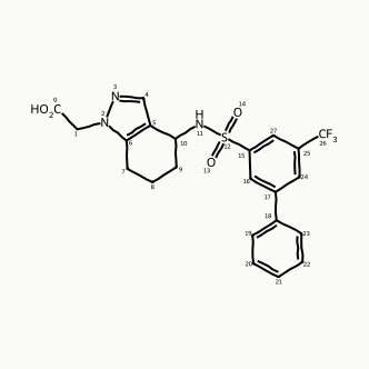 O=C(O)Cn1ncc2c1CCCC2NS(=O)(=O)c1cc(-c2ccccc2)cc(C(F)(F)F)c1